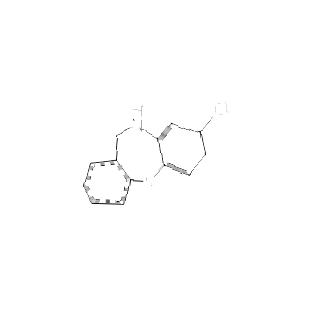 ClC1C=C2NCc3ccccc3SC2=CC1